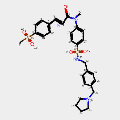 CN(C(=O)/C=C/c1ccc(S(C)(=O)=O)cc1)c1ccc(S(=O)(=O)NCc2ccc(CN3CCCC3)cc2)cc1